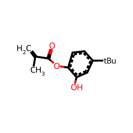 C=C(C)C(=O)Oc1ccc(C(C)(C)C)cc1O